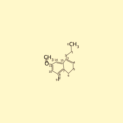 CCCC1=CCCc2c(F)cc(OC)cc21